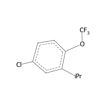 CC(C)c1cc(Cl)ccc1OC(F)(F)F